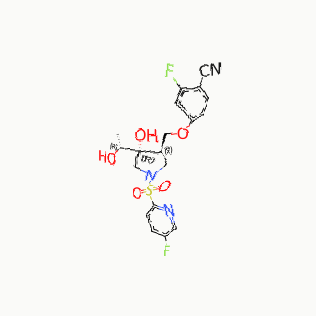 C[C@@H](O)[C@]1(O)CN(S(=O)(=O)c2ccc(F)cn2)C[C@@H]1COc1ccc(C#N)c(F)c1